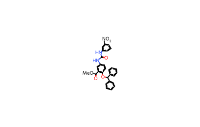 COC(=O)c1cc(NC(=O)Nc2cccc([N+](=O)[O-])c2)ccc1OC(c1ccccc1)c1ccccc1